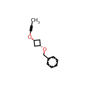 CC#CO[C@H]1C[C@H](OCc2ccccc2)C1